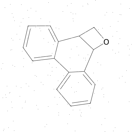 c1ccc2c(c1)-c1ccccc1C1OCC21